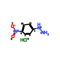 Cl.NNc1ccc([N+](=O)[O-])cc1